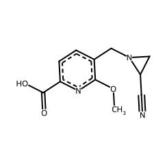 COc1nc(C(=O)O)ccc1CN1CC1C#N